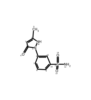 Cc1cc(=O)n(-c2cccc(S(N)(=O)=O)c2)[nH]1